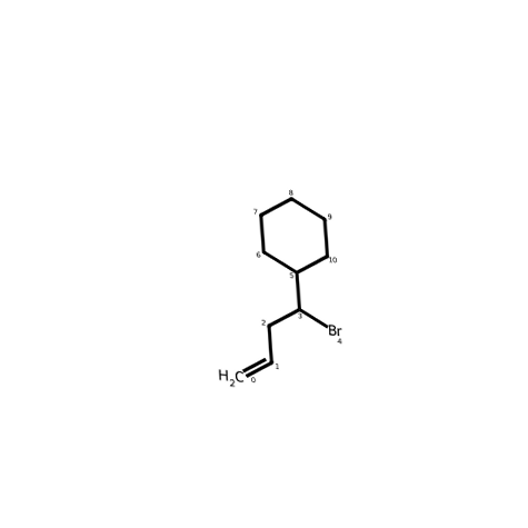 C=CCC(Br)C1CCCCC1